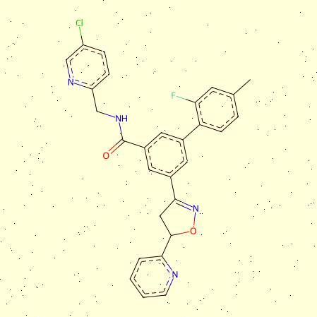 Cc1ccc(-c2cc(C(=O)NCc3ccc(Cl)cn3)cc(C3=NOC(c4ccccn4)C3)c2)c(F)c1